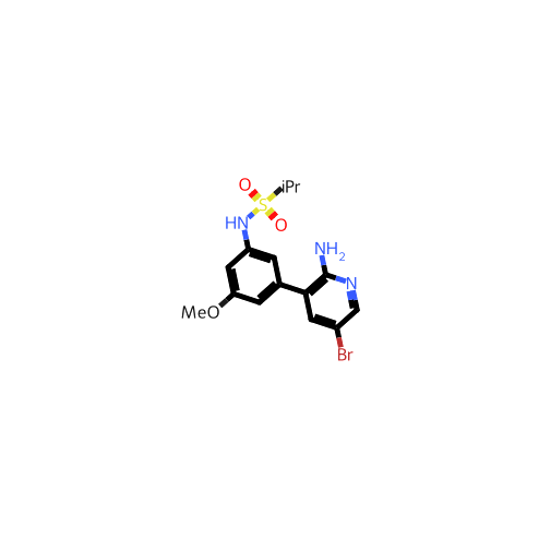 COc1cc(NS(=O)(=O)C(C)C)cc(-c2cc(Br)cnc2N)c1